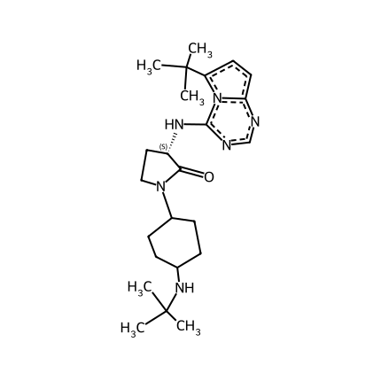 CC(C)(C)NC1CCC(N2CC[C@H](Nc3ncnc4ccc(C(C)(C)C)n34)C2=O)CC1